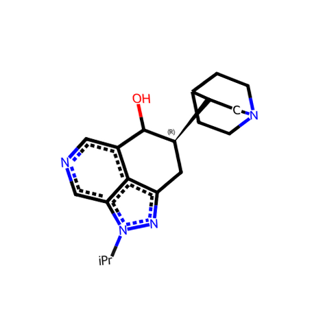 CC(C)n1nc2c3c(cncc31)C(O)[C@@H](C1CN3CCC1CC3)C2